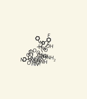 C[C@H](NC(=O)CNC(=O)Cc1ccncc1)C(=O)N[C@@H](CC(N)=O)C(=O)N[C@@H](CCN(C(=O)CO)[C@@H](c1cc(-c2cc(F)ccc2F)cn1Cc1ccccc1)C(C)(C)C)C(=O)NCCNC(=O)CN1C(=O)C=CC1=O